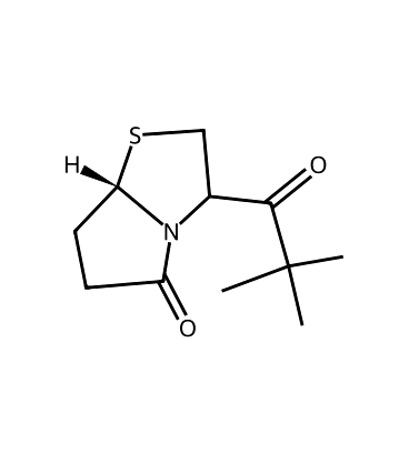 CC(C)(C)C(=O)C1CS[C@H]2CCC(=O)N12